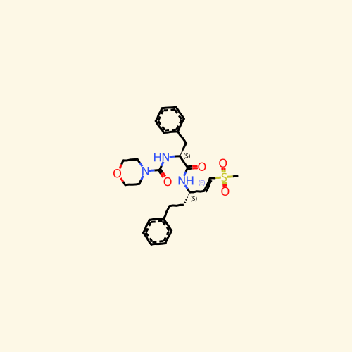 CS(=O)(=O)/C=C/[C@H](CCc1ccccc1)NC(=O)[C@H](Cc1ccccc1)NC(=O)N1CCOCC1